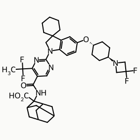 CC(F)(F)c1nc(N2CC3(CCCCC3)c3cc(O[C@H]4CC[C@H](N5CC(F)(F)C5)CC4)ccc32)ncc1C(=O)NC1(C(=O)O)C2CC3CC(C2)CC1C3